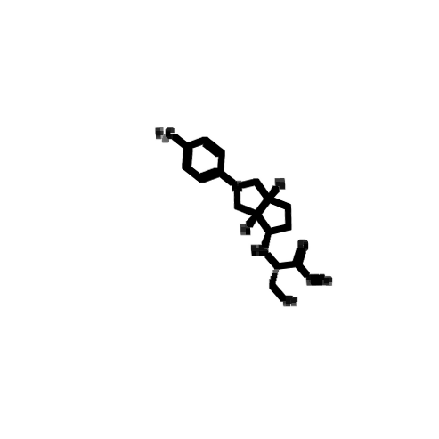 CNC(=O)[C@H](CC(C)C)N[C@@H]1CC[C@H]2CN(c3ccc(C(F)(F)F)cc3)C[C@H]21